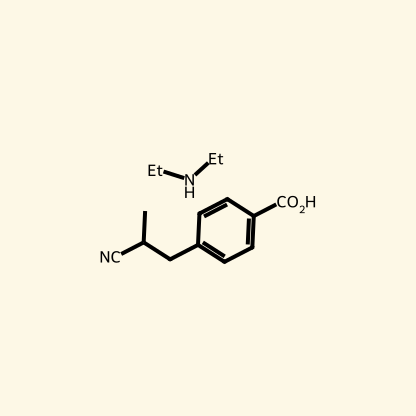 CC(C#N)Cc1ccc(C(=O)O)cc1.CCNCC